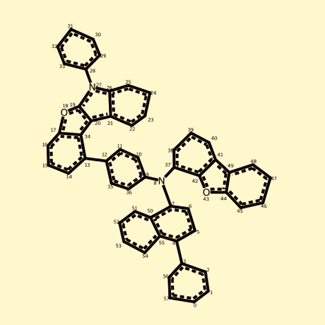 c1ccc(-c2ccc(N(c3ccc(-c4cccc5oc6c(c7ccccc7n6-c6ccccc6)c45)cc3)c3cccc4c3oc3ccccc34)c3ccccc23)cc1